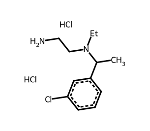 CCN(CCN)C(C)c1cccc(Cl)c1.Cl.Cl